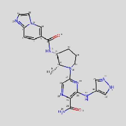 C[C@@H]1[C@H](NC(=O)c2ccc3nccn3c2)CCCN1c1cnc(C(N)=O)c(Nc2cn[nH]c2)n1